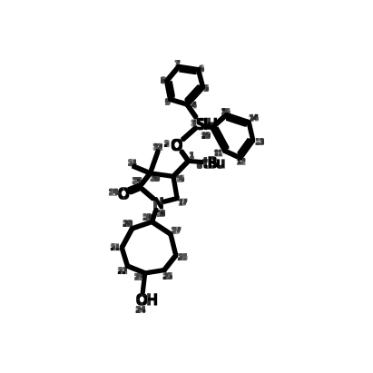 CC(C)(C)C(O[SiH](c1ccccc1)c1ccccc1)C1CN(C2CCCC(O)CCC2)C(=O)C1(C)C